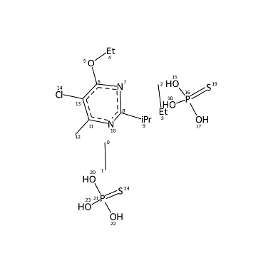 CC.CCC.CCOc1nc(C(C)C)nc(C)c1Cl.OP(O)(O)=S.OP(O)(O)=S